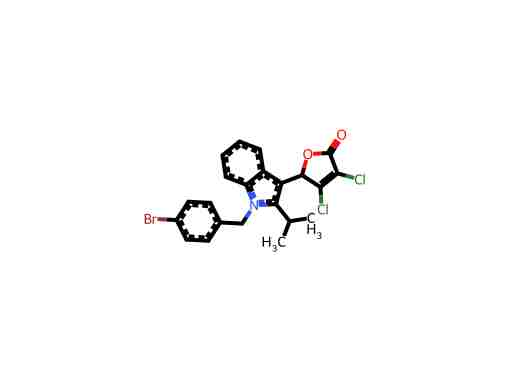 CC(C)c1c(C2OC(=O)C(Cl)=C2Cl)c2ccccc2n1Cc1ccc(Br)cc1